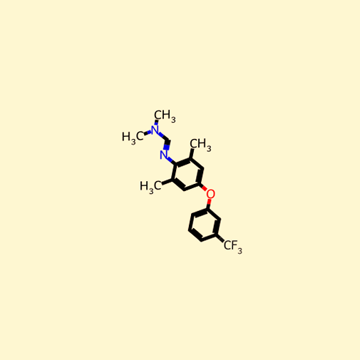 Cc1cc(Oc2cccc(C(F)(F)F)c2)cc(C)c1N=CN(C)C